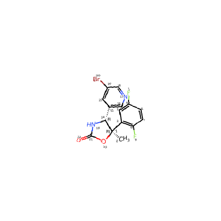 C[C@]1(c2cc(F)ccc2F)OC(=O)N[C@@H]1c1cncc(Br)c1